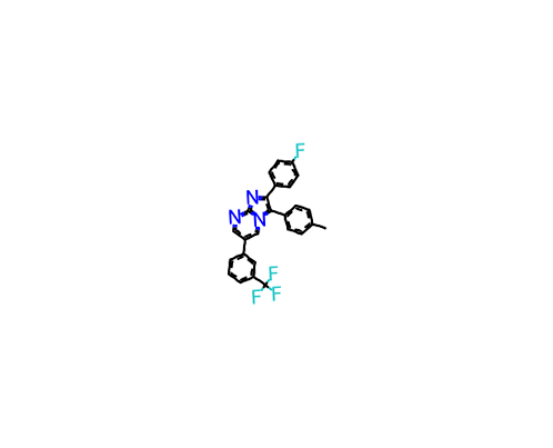 Cc1ccc(-c2c(-c3ccc(F)cc3)nc3ncc(-c4cccc(C(F)(F)F)c4)cn23)cc1